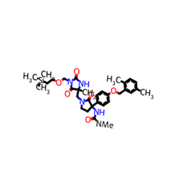 CNC(=O)NC1(c2ccc(OCc3cc(C)ccc3C)cc2)CCN(CC2(C)NC(=O)N(COCC[Si](C)(C)C)C2=O)C1=O